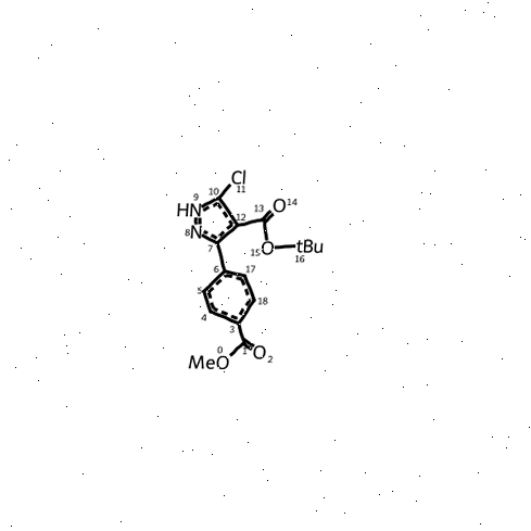 COC(=O)c1ccc(-c2n[nH]c(Cl)c2C(=O)OC(C)(C)C)cc1